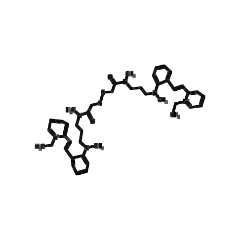 CC[n+]1ccccc1/C=C/c1ccccc1N(C)CCCN(C)C(=O)CSSCC(=O)N(C)CCCN(C)c1ccccc1/C=C/c1cccc[n+]1CC